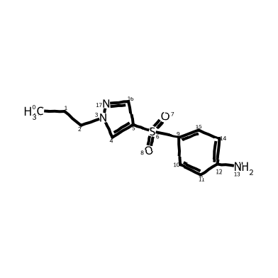 CCCn1cc(S(=O)(=O)c2ccc(N)cc2)cn1